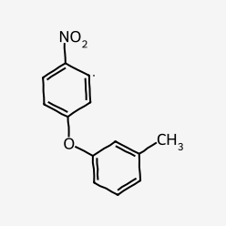 Cc1cccc(Oc2c[c]c([N+](=O)[O-])cc2)c1